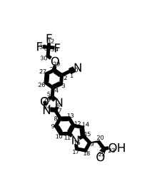 N#Cc1cc(-c2nc(-c3ccc4c(c3)cc3n4CC[C@@H]3CC(=O)O)no2)ccc1OCC(F)(F)F